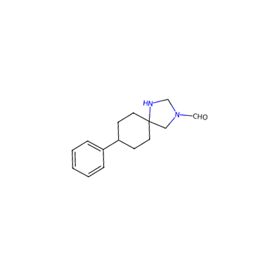 O=CN1CNC2(CCC(c3ccccc3)CC2)C1